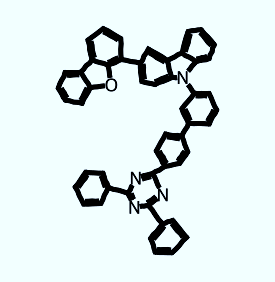 c1ccc(-c2nc(-c3ccccc3)nc(-c3ccc(-c4cccc(-n5c6ccccc6c6cc(-c7cccc8c7oc7ccccc78)ccc65)c4)cc3)n2)cc1